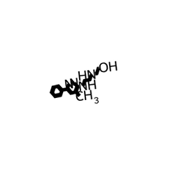 Cc1cc(-c2ccccc2)nnc1NCCNCCO